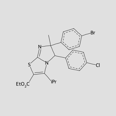 CCOC(=O)C1=C(C(C)C)N2C(=NC(C)(c3ccc(Br)cc3)C2c2ccc(Cl)cc2)S1